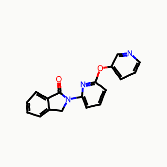 O=C1c2ccccc2CN1c1cccc(Oc2cccnc2)n1